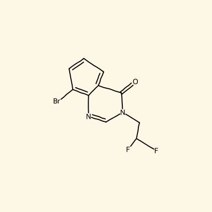 O=c1c2cccc(Br)c2ncn1CC(F)F